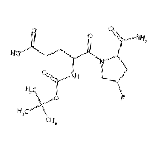 CC(C)(C)OC(=O)NC(CCC(=O)O)C(=O)N1CC(F)CC1C(N)=O